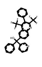 OC(c1ccccc1)(c1cccnc1)c1ccc2nc(C(F)(F)F)c(-c3ccccc3)c(C(F)(F)F)c2c1